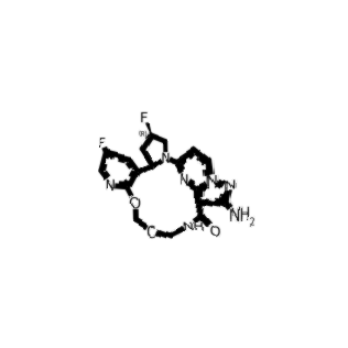 Nc1nn2ccc3nc2c1C(=O)NCCCOc1ncc(F)cc1C1C[C@@H](F)CN31